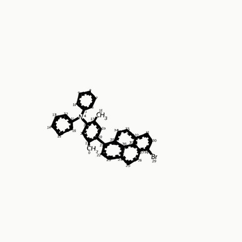 Cc1cc(N(c2ccccc2)c2ccccc2)c(C)cc1-c1ccc2ccc3c(Br)ccc4ccc1c2c43